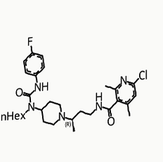 CCCCCCN(C(=O)Nc1ccc(F)cc1)C1CCN([C@H](C)CCNC(=O)c2c(C)cc(Cl)nc2C)CC1